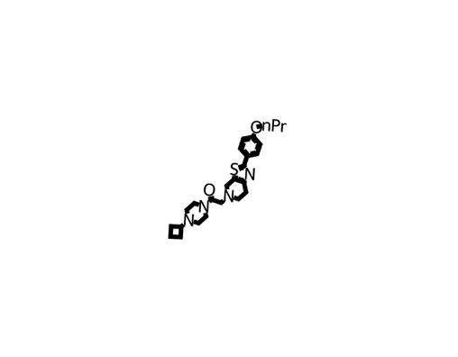 CCCOc1ccc(-c2nc3c(s2)CN(CC(=O)N2CCN(C4CCC4)CC2)CC3)cc1